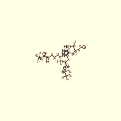 CN/C(Cc1c([C@@H](C)C(CC=O)C(C)O)cnn1CCCCNC(=O)OC(C)(C)C)=N\O[Si](C)(C)C(C)(C)C